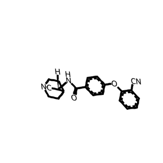 N#Cc1ccccc1Oc1ccc(C(=O)N[C@H]2CN3CCC2CC3)cc1